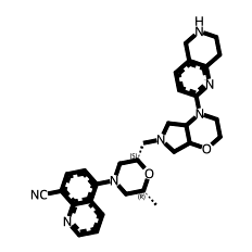 C[C@@H]1CN(c2ccc(C#N)c3ncccc23)C[C@H](CN2CC3OCCN(c4ccc5c(n4)CCNC5)C3C2)O1